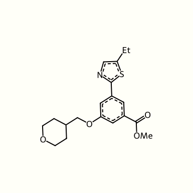 CCc1cnc(-c2cc(OCC3CCOCC3)cc(C(=O)OC)c2)s1